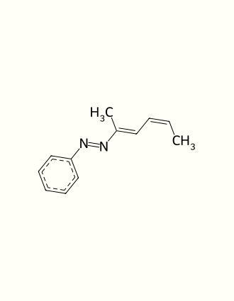 C/C=C\C=C(/C)N=Nc1ccccc1